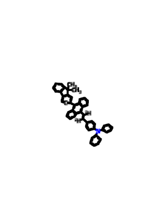 [2H]/C(=C(/[2H])c1c2ccccc2c(-c2ccc3c(c2)C(C)(C)c2ccccc2-3)c2ccccc12)c1ccc(N(c2ccccc2)c2ccccc2)cc1